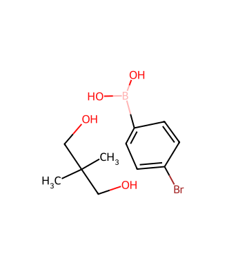 CC(C)(CO)CO.OB(O)c1ccc(Br)cc1